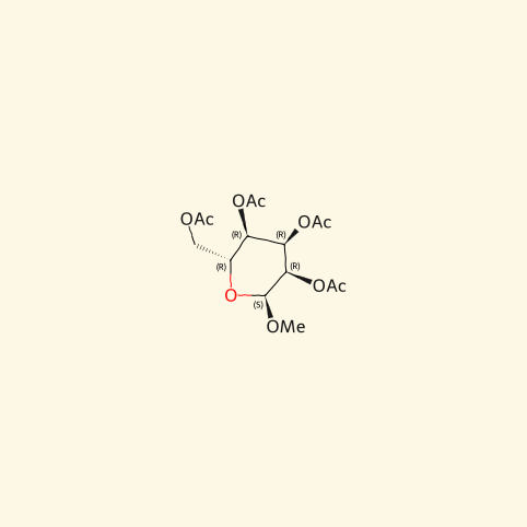 CO[C@H]1O[C@H](COC(C)=O)[C@@H](OC(C)=O)[C@@H](OC(C)=O)[C@H]1OC(C)=O